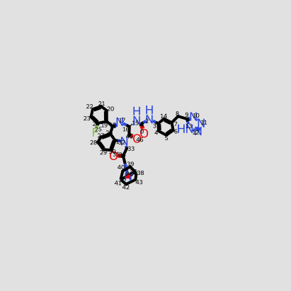 O=C(Nc1cccc(Cc2nnn[nH]2)c1)N[C@H]1N=C(c2ccccc2F)c2ccccc2N(CC(=O)N2CC3CCC(CC3)C2)C1=O